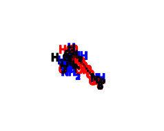 CC(C)[C@H](NC(=O)[C@H](CCC(=O)O)NC(=O)CCOCCOCCOCCOCCNC(=O)OCC1c2ccccc2-c2ccccc21)C(=O)N[C@@H](CCCNC(N)=O)C(=O)Nc1ccc(CO)cc1